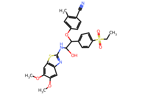 CCS(=O)(=O)c1ccc(C(Oc2ccc(C#N)c(C)c2)C(O)Nc2nc3cc(OC)c(OC)cc3s2)cc1